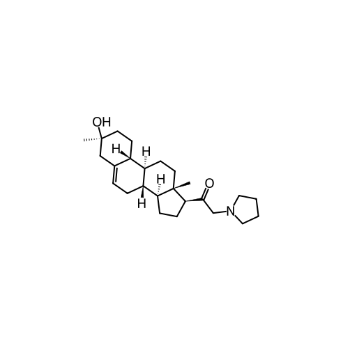 C[C@]1(O)CC[C@H]2C(=CC[C@@H]3[C@@H]2CC[C@]2(C)[C@@H](C(=O)CN4CCCC4)CC[C@@H]32)C1